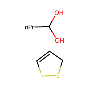 C1=CSSC1.CCCC(O)O